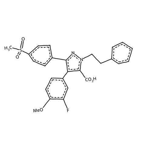 COc1ccc(-c2c(-c3ccc(S(C)(=O)=O)cc3)nn(CCc3ccccc3)c2C(=O)O)cc1F